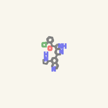 O=C(c1ccccc1Cl)c1c[nH]c2ncc(-c3cc(C4CCCN4)c4cnccc4c3)cc12